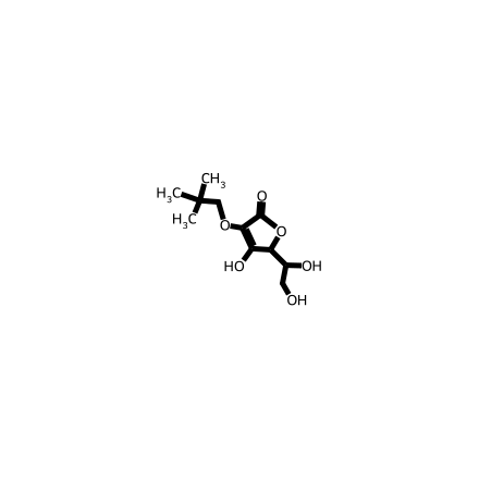 CC(C)(C)COC1=C(O)C(C(O)CO)OC1=O